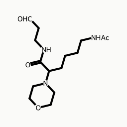 CC(=O)NCCCCC(C(=O)NCCC=O)N1CCOCC1